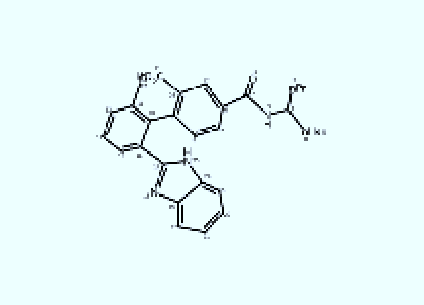 CCCCCCC(CCC)NC(=O)c1ccc(-c2c(Cl)cccc2-c2nc3ccccc3[nH]2)c(C(=O)O)c1